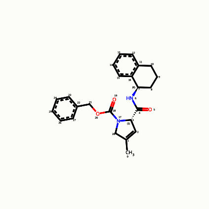 CC1=C[C@@H](C(=O)N[C@@H]2CCCc3ccccc32)N(C(=O)OCc2ccccc2)C1